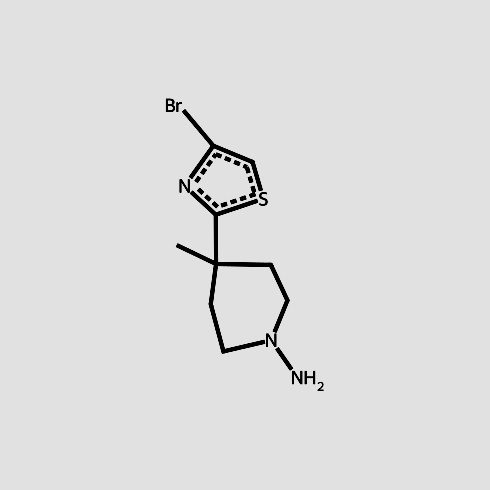 CC1(c2nc(Br)cs2)CCN(N)CC1